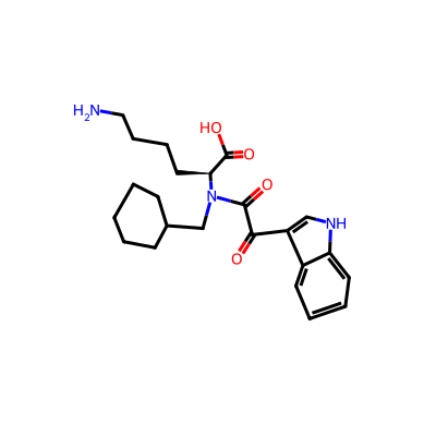 NCCCC[C@@H](C(=O)O)N(CC1CCCCC1)C(=O)C(=O)c1c[nH]c2ccccc12